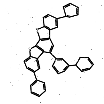 C1=CCC(c2cccc(-c3cc4c5cc(-c6ccccc6)ccc5sc4c4sc5ccc(-c6ccccc6)cc5c34)c2)C=C1